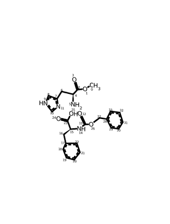 COC(=O)[C@@H](N)Cc1c[nH]cn1.O=C(N[C@@H](Cc1ccccc1)C(=O)O)OCc1ccccc1